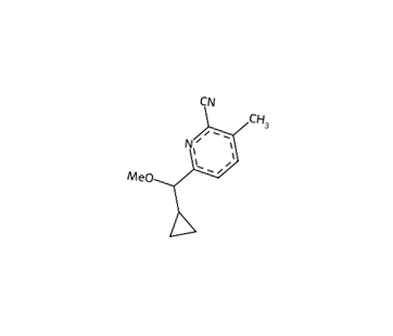 COC(c1ccc(C)c(C#N)n1)C1CC1